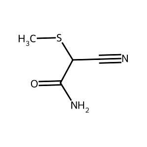 CSC(C#N)C(N)=O